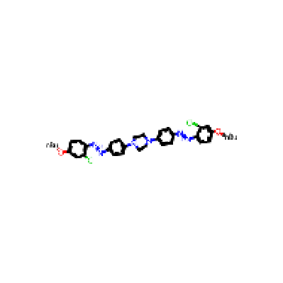 CCCCOc1ccc(/N=N/c2ccc(N3CCN(c4ccc(/N=N/c5ccc(OCCCC)cc5Cl)cc4)CC3)cc2)c(Cl)c1